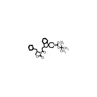 CC(C)(C)OC(=O)N1CCC2(CC1)CC(CC(=O)N1C(=O)OCC1Cc1ccccc1)c1ccccc12